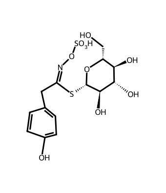 O=S(=O)(O)ON=C(Cc1ccc(O)cc1)S[C@@H]1O[C@H](CO)[C@@H](O)[C@H](O)[C@H]1O